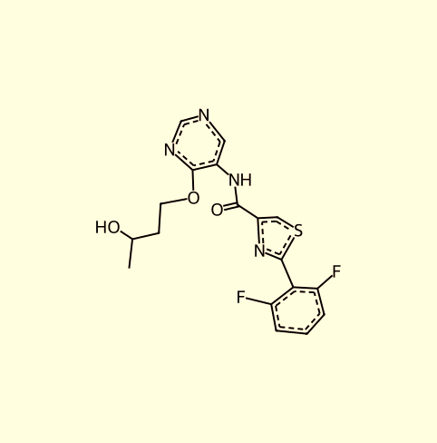 CC(O)CCOc1ncncc1NC(=O)c1csc(-c2c(F)cccc2F)n1